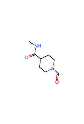 CNC(=O)C1CCN(C=O)CC1